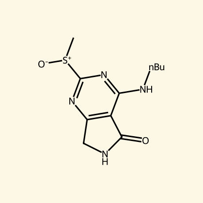 CCCCNc1nc([S+](C)[O-])nc2c1C(=O)NC2